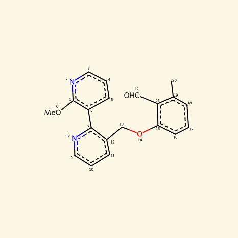 COc1ncccc1-c1ncccc1COc1cccc(C)c1C=O